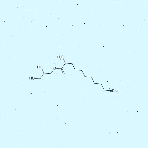 CCCCCCCCCCCCCCCCCCC(C)C(=S)OCC(O)CO